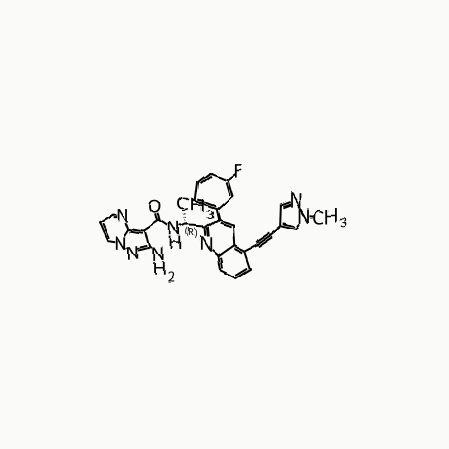 C[C@@H](NC(=O)c1c(N)nn2cccnc12)c1nc2cccc(C#Cc3cnn(C)c3)c2cc1-c1cccc(F)c1